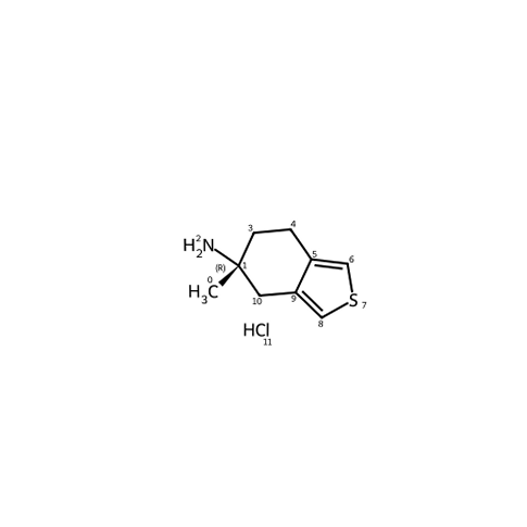 C[C@@]1(N)CCc2cscc2C1.Cl